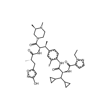 CCn1nccc1C(=O)N[C@H](C(=O)Nc1ccc([C@H](C)[C@@H](NC(=O)[C@@H](C)Cc2cc(O)no2)C(=O)N2CCN(C)[C@H](C)C2)cc1F)C(C1CC1)C1CC1